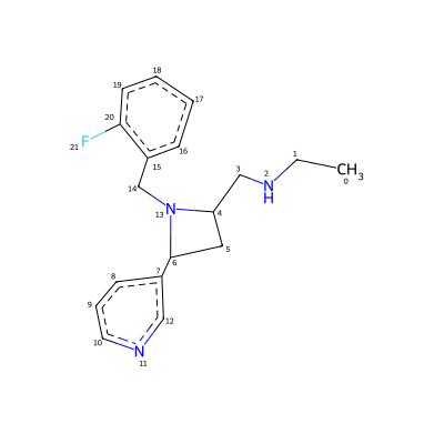 CCNCC1CC(c2cccnc2)N1Cc1ccccc1F